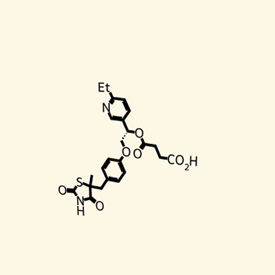 CCc1ccc([C@@H](COc2ccc(CC3(C)SC(=O)NC3=O)cc2)OC(=O)CCC(=O)O)cn1